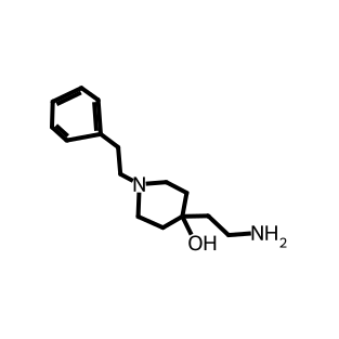 NCCC1(O)CCN(CCc2ccccc2)CC1